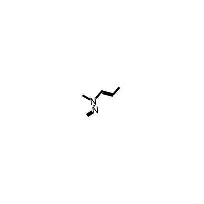 C=NN(C)/C=C/C